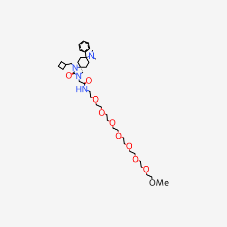 COCCOCCOCCOCCOCCOCCOCCOCCNC(=O)CN1C[C@]2(CC[C@](c3ccccc3)(N(C)C)CC2)N(CC2CCC2)C1=O